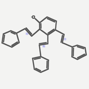 [O]c1ccc(/C=C/c2ccccc2)c(/C=C/c2ccccc2)c1/C=C/c1ccccc1